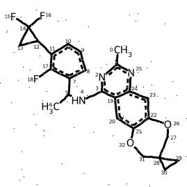 Cc1nc(NC(C)c2cccc(C3CC3(F)F)c2F)c2cc3c(cc2n1)OCC1(CC1)CO3